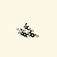 CCn1ncc(CN(C)C(=O)c2nc(-c3cc4c(NN)[nH]nc4cc3C)nc3ccc(COC)cc23)c1C